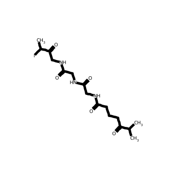 CC(C)C(=O)CCCC(=O)NCC(=O)NCC(=O)NCC(=O)C(C)I